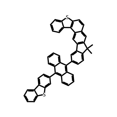 CC1(C)c2ccc(-c3c4ccccc4c(-c4ccc5c(c4)sc4ccccc45)c4ccccc34)cc2-c2cc3c(ccc4sc5ccccc5c43)cc21